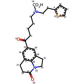 O=C(CCCCN(CCc1cccs1)C(=O)O)c1cc2c3c(c1)CCN3C(=O)CC2